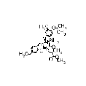 C=Cc1ccc(Cn2c(=O)n(C[C@H](C)C(=O)OC)c(=O)n(N)/c2=N\c2ccc(OC(C)C)c(C)c2)cc1